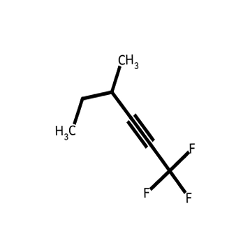 CCC(C)C#CC(F)(F)F